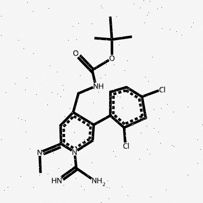 C/N=c1/cc(CNC(=O)OC(C)(C)C)c(-c2ccc(Cl)cc2Cl)cn1C(=N)N